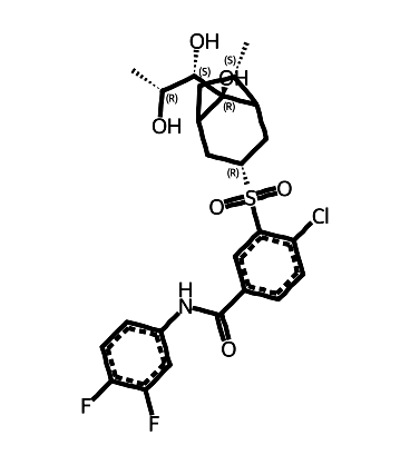 C[C@H]1CC2C[C@@H](S(=O)(=O)c3cc(C(=O)Nc4ccc(F)c(F)c4)ccc3Cl)CC1[C@@]2(O)[C@@H](O)[C@@H](C)O